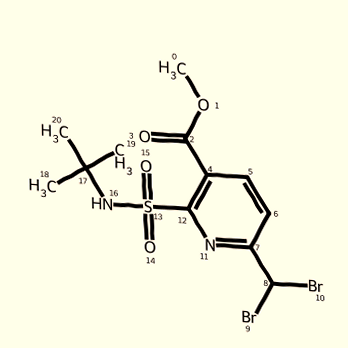 COC(=O)c1ccc(C(Br)Br)nc1S(=O)(=O)NC(C)(C)C